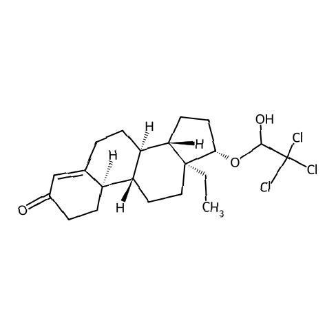 CC[C@]12CC[C@H]3[C@@H](CCC4=CC(=O)CC[C@@H]43)[C@@H]1CC[C@@H]2OC(O)C(Cl)(Cl)Cl